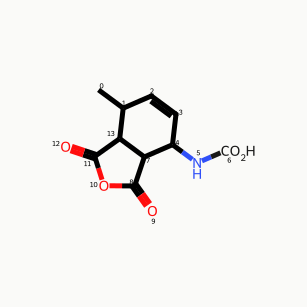 CC1C=CC(NC(=O)O)C2C(=O)OC(=O)C12